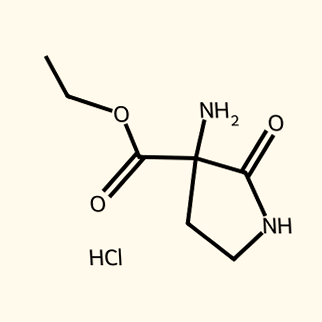 CCOC(=O)C1(N)CCNC1=O.Cl